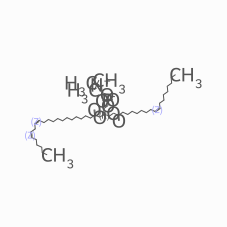 CCCCC/C=C\C/C=C\CCCCCCCCCCCC(=O)O[C@H](COC(=O)CCCCCCC/C=C\CCCCCCCC)COP(=O)([O-])OCC[N+](C)(C)C